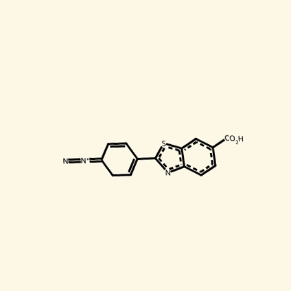 [N-]=[N+]=C1C=CC(c2nc3ccc(C(=O)O)cc3s2)=CC1